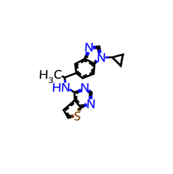 CC(Nc1ncnc2sccc12)c1ccc2c(c1)ncn2C1CC1